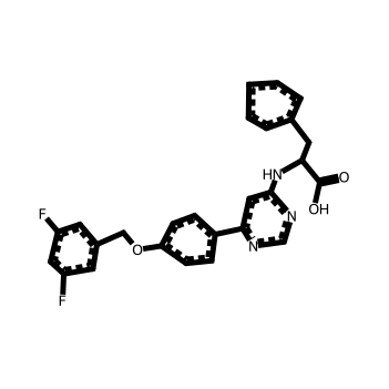 O=C(O)C(Cc1ccccc1)Nc1cc(-c2ccc(OCc3cc(F)cc(F)c3)cc2)ncn1